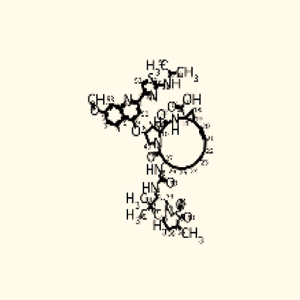 COc1ccc2c(O[C@@H]3C[C@H]4C(=O)N[C@]5(C(=O)O)CC5/C=C\CCCCC[C@H](NC(=O)N[C@H](CN5CCC(C)S5(=O)=O)C(C)(C)C)C(=O)N4C3)cc(-c3csc(NC(C)C)n3)nc2c1